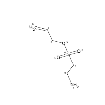 C=CCOS(=O)(=O)CCN